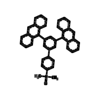 CP(C)(=O)c1ccc(-c2cc(-c3c4ccccc4cc4ccccc34)cc(-c3c4ccccc4cc4ccccc34)c2)cc1